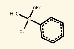 CCC[Si](C)(CC)c1ccccc1